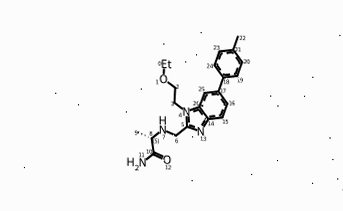 CCOCCn1c(CN[C@@H](C)C(N)=O)nc2ccc(-c3ccc(C)cc3)cc21